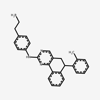 BCCc1ccc(Nc2ncc3c(n2)-c2ccccc2C(c2ccccc2C)C3)cc1